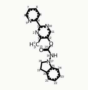 Cc1nc(-c2ccccn2)ncc1OC(=O)NN1CCc2ccccc21